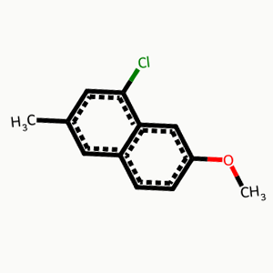 COc1ccc2cc(C)cc(Cl)c2c1